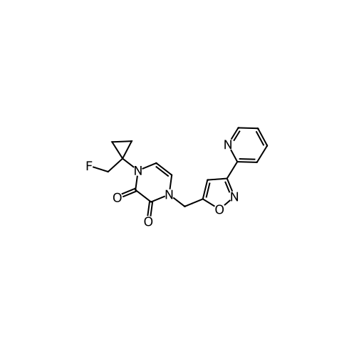 O=c1c(=O)n(C2(CF)CC2)ccn1Cc1cc(-c2ccccn2)no1